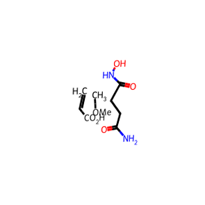 C=CC(=O)O.COC.NC(=O)CCC(=O)NO